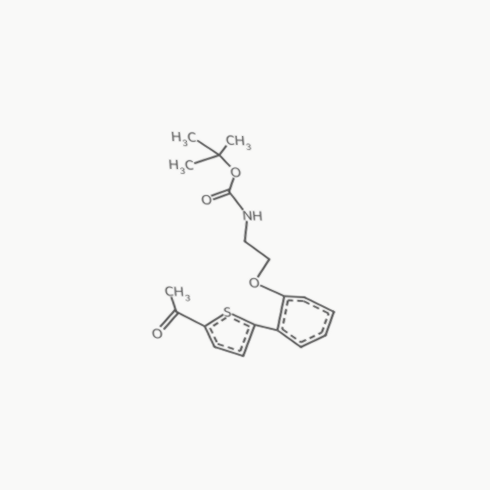 CC(=O)c1ccc(-c2ccccc2OCCNC(=O)OC(C)(C)C)s1